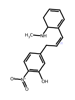 CNC1CC=CC=C1/C=C\Cc1ccc([N+](=O)[O-])c(O)c1